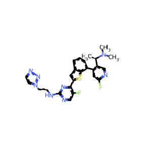 C[C@H](c1cnc(F)cc1-c1cccc2cc(-c3nc(NCCn4ccnn4)ncc3F)sc12)N(C)C